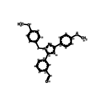 COc1ccc(Cn2nc(-c3ccc(OC)cc3)nc2-c2cccc(C=O)c2)cc1